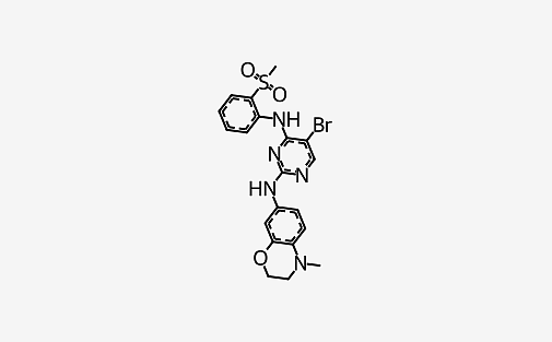 CN1CCOc2cc(Nc3ncc(Br)c(Nc4ccccc4S(C)(=O)=O)n3)ccc21